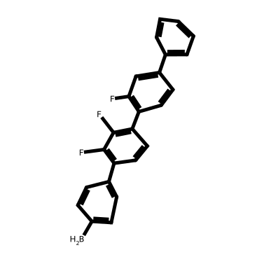 Bc1ccc(-c2ccc(-c3ccc(-c4ccccc4)cc3F)c(F)c2F)cc1